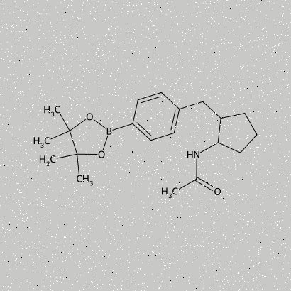 CC(=O)NC1CCCC1Cc1ccc(B2OC(C)(C)C(C)(C)O2)cc1